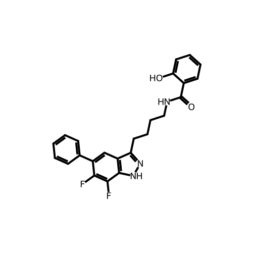 O=C(NCCCCc1n[nH]c2c(F)c(F)c(-c3ccccc3)cc12)c1ccccc1O